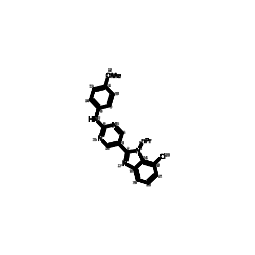 CCCn1c(-c2cnc(Nc3ccc(OC)cc3)nc2)nc2cccc(Cl)c21